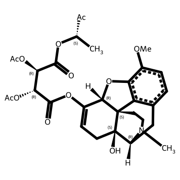 COc1ccc2c3c1O[C@H]1C(OC(=O)[C@H](OC(C)=O)[C@@H](OC(C)=O)C(=O)O[C@@H](C)C(C)=O)=CC[C@@]4(O)[C@@H](C2)N(C)CC[C@]314